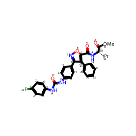 COC(=O)[C@@H](NC(=O)c1onc(-c2ccc(NC(=O)Nc3ccc(F)cc3)cc2)c1-c1ccccc1)C(C)C